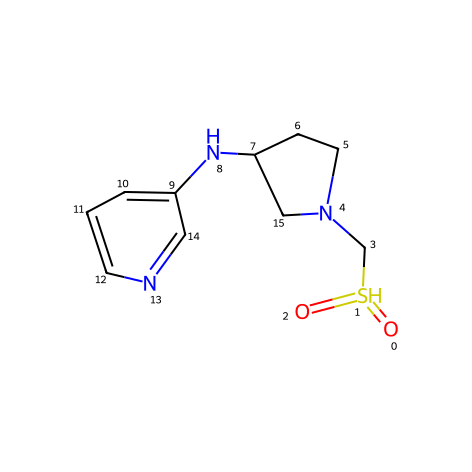 O=[SH](=O)CN1CCC(Nc2cccnc2)C1